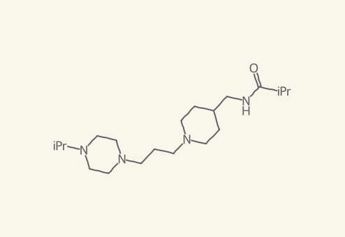 CC(C)C(=O)NCC1CCN(CCCN2CCN(C(C)C)CC2)CC1